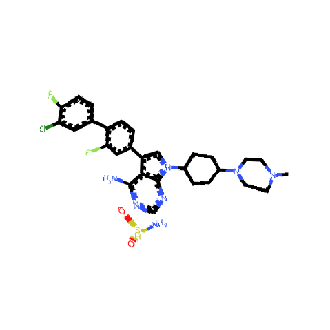 CN1CCN(C2CCC(n3cc(-c4ccc(-c5ccc(F)c(Cl)c5)c(F)c4)c4c(N)ncnc43)CC2)CC1.N[SH](=O)=O